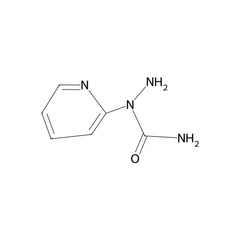 NC(=O)N(N)c1ccccn1